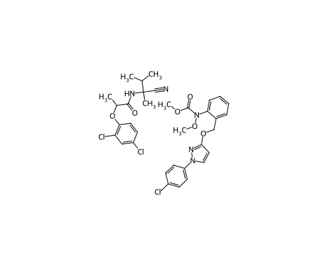 CC(Oc1ccc(Cl)cc1Cl)C(=O)NC(C)(C#N)C(C)C.COC(=O)N(OC)c1ccccc1COc1ccn(-c2ccc(Cl)cc2)n1